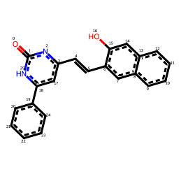 O=c1nc(C=Cc2cc3ccccc3cc2O)cc(-c2ccccc2)[nH]1